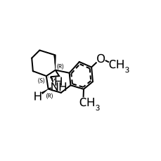 COc1cc(C)c2c(c1)[C@@]13CCCC[C@@H]1[C@@H](C2)NCC3